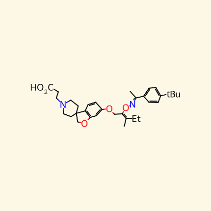 CC/C(C)=C(/COc1ccc2c(c1)OCC21CCN(CCC(=O)O)CC1)O/N=C(\C)c1ccc(C(C)(C)C)cc1